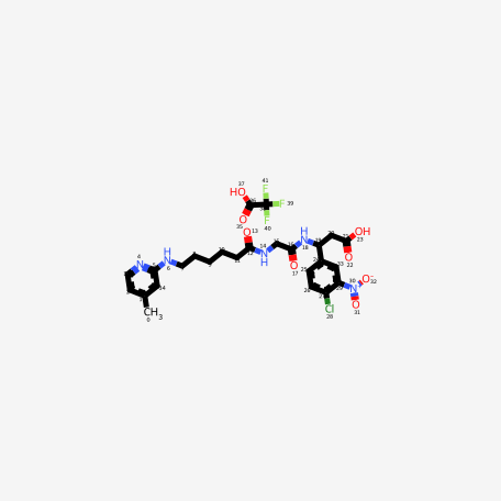 Cc1ccnc(NCCCCCC(=O)NCC(=O)NC(CC(=O)O)c2ccc(Cl)c([N+](=O)[O-])c2)c1.O=C(O)C(F)(F)F